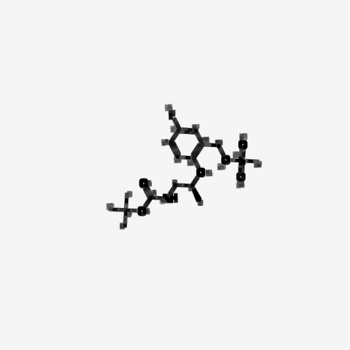 C[C@@H](CNC(=O)OC(C)(C)C)Oc1ccc(F)cc1COS(C)(=O)=O